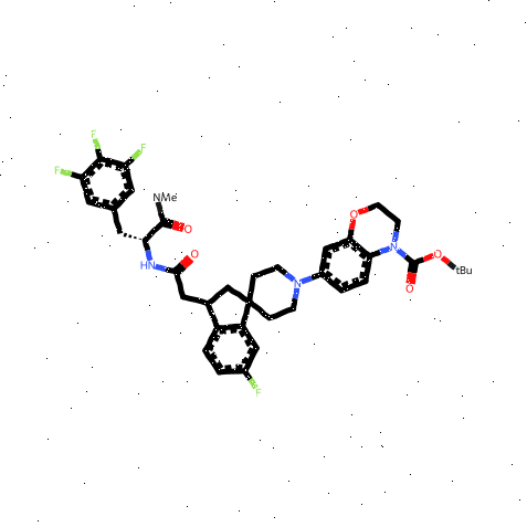 CNC(=O)[C@@H](Cc1cc(F)c(F)c(F)c1)NC(=O)CC1CC2(CCN(c3ccc4c(c3)OCCN4C(=O)OC(C)(C)C)CC2)c2cc(F)ccc21